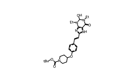 CCN1C(=O)c2[nH]c(/C=C/c3ccc(OC4CCN(C(=O)OC(C)(C)C)CC4)cc3)nc2N(CC)C1O